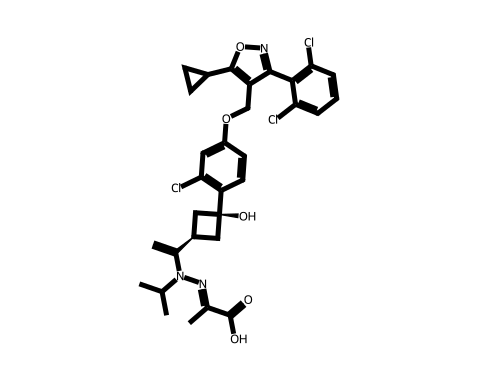 C=C([C@H]1C[C@](O)(c2ccc(OCc3c(-c4c(Cl)cccc4Cl)noc3C3CC3)cc2Cl)C1)N(/N=C(\C)C(=O)O)C(C)C